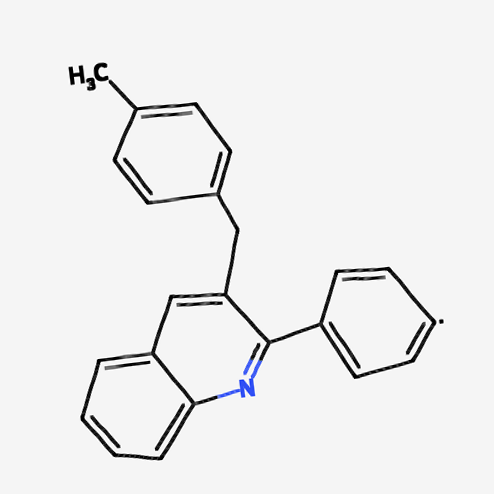 Cc1ccc(Cc2cc3ccccc3nc2-c2cc[c]cc2)cc1